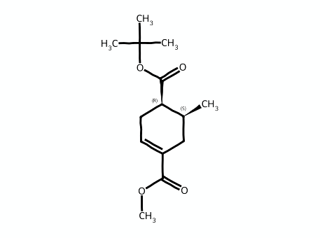 COC(=O)C1=CC[C@@H](C(=O)OC(C)(C)C)[C@@H](C)C1